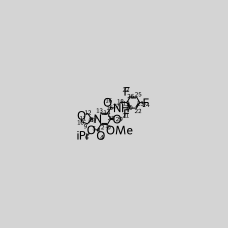 COc1c(C(=O)OC(C)C)n([C@@H]2CCOC2)cc(C(=O)NCc2c(F)cc(F)cc2F)c1=O